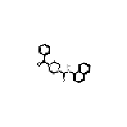 O=C(c1ccccc1)N1CCN(C(=S)Nc2cccc3ccccc23)CC1